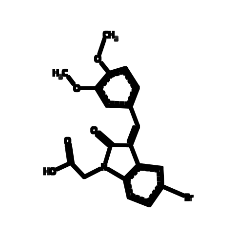 COc1ccc(C=C2C(=O)N(CC(=O)O)c3ccc(Br)cc32)cc1OC